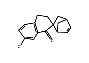 O=C1c2cc(Cl)ccc2CCC12CC1C=CC2C1